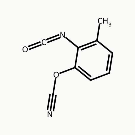 Cc1cccc(OC#N)c1N=C=O